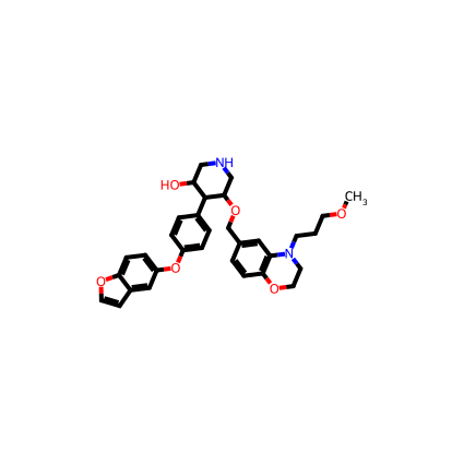 COCCCN1CCOc2ccc(COC3CNCC(O)C3c3ccc(Oc4ccc5occc5c4)cc3)cc21